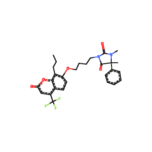 CCCc1c(OCCCCN2C(=O)N(C)C(C)(c3ccccc3)C2=O)ccc2c(C(F)(F)F)cc(=O)oc12